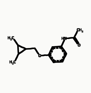 CC(=O)Nc1cccc(OCC2C(C)C2C)c1